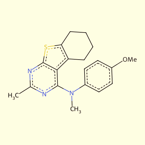 COc1ccc(N(C)c2nc(C)nc3sc4c(c23)CCCC4)cc1